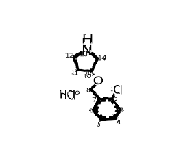 Cl.Clc1ccccc1CO[C@@H]1CCNC1